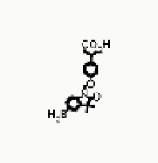 Bc1ccc2c(c1)C(C)(C)C(=O)N2COc1ccc(C(C)CC(=O)O)cc1